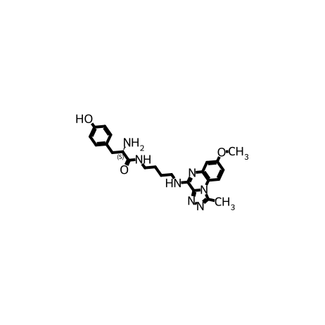 COc1ccc2c(c1)nc(NCCCCNC(=O)[C@@H](N)Cc1ccc(O)cc1)c1nnc(C)n12